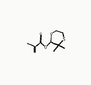 C=C(C)C(=O)OC1OCCSC1(C)C